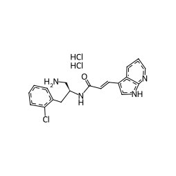 Cl.Cl.NC[C@H](Cc1ccccc1Cl)NC(=O)/C=C/c1c[nH]c2ncccc12